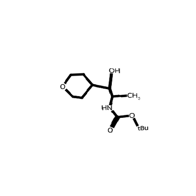 CC(NC(=O)OC(C)(C)C)C(O)C1CCOCC1